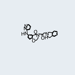 O=C1c2cc(Nc3cccnn3)ccc2OCCN1C[C@H](O)CN1CCc2ccccc2C1